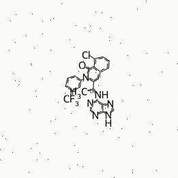 C[C@H](Nc1ncnc2[nH]cnc12)c1cc2cccc(Cl)c2c(=O)n1-c1cccc(C(F)(F)F)c1